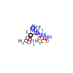 C[C@H]1C(=O)NC[C@@H]1C(=O)Nc1cc(-c2cc(F)cc(OC(C)(C)C(F)(F)F)c2)n(-c2nccnc2C(F)(F)F)n1